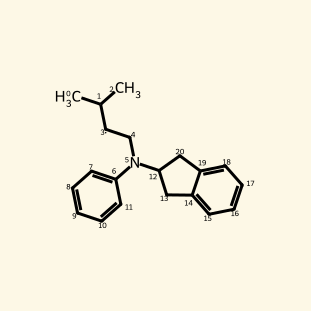 CC(C)[CH]CN(c1ccccc1)C1Cc2ccccc2C1